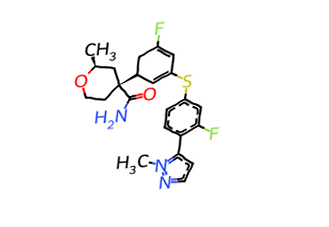 C[C@H]1C[C@@](C(N)=O)(C2C=C(Sc3ccc(-c4ccnn4C)c(F)c3)C=C(F)C2)CCO1